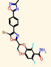 Cc1noc(-c2ccc(-c3nc(C(CO)Oc4ccc(F)c(C(N)=O)c4F)oc3Br)cc2)n1